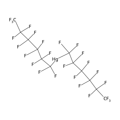 FC(F)(F)C(F)(F)C(F)(F)C(F)(F)C(F)(F)[C](F)(F)[Hg][C](F)(F)C(F)(F)C(F)(F)C(F)(F)C(F)(F)C(F)(F)F